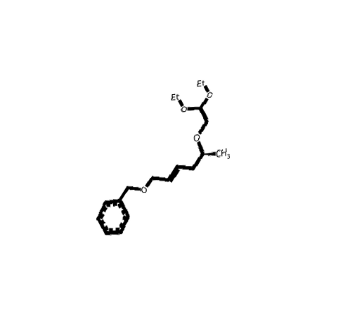 CCOC(CO[C@@H](C)CC=CCOCc1ccccc1)OCC